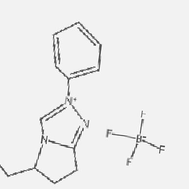 CC(C)CC1CCc2n[n+](-c3ccccc3)cn21.F[B-](F)(F)F